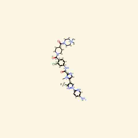 Cn1c(-c2cn(-c3ccc(N)cn3)nc2C(F)(F)F)cnc1C(=O)Nc1ccc(C(=O)N2CCC(C(=O)N3CC[N+](C)(C)CC3)CC2)c(Cl)c1